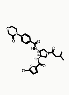 CC(C)CC(=O)N1C[C@@H](NC(=O)c2ccc(N3CCOCC3=O)cc2)[C@H](NC(=O)c2ccc(Cl)s2)C1